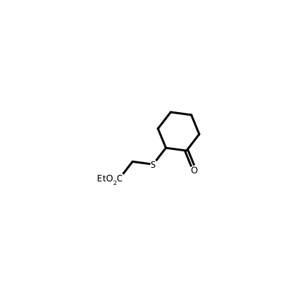 CCOC(=O)CSC1CCCCC1=O